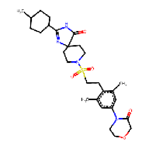 Cc1cc(N2CCOCC2=O)cc(C)c1CCS(=O)(=O)N1CCC2(CC1)N=C(C1CCC(C)CC1)NC2=O